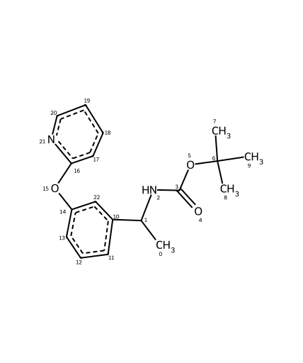 CC(NC(=O)OC(C)(C)C)c1cccc(Oc2ccccn2)c1